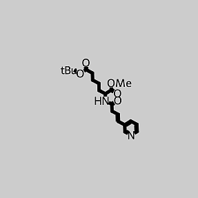 COC(=O)C(CCCCC(=O)OC(C)(C)C)NC(=O)CC=Cc1cccnc1